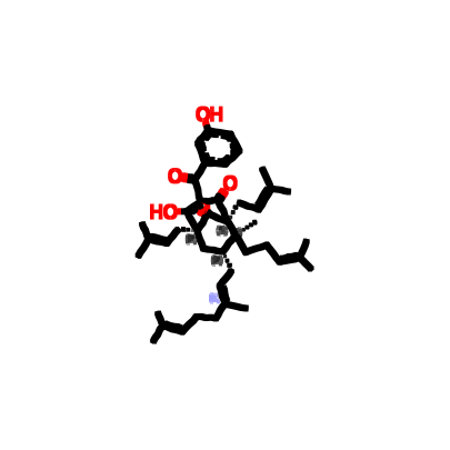 CC(C)=CCC/C(C)=C/C[C@@H]1C[C@]2(CC=C(C)C)C(=O)[C@@](CC=C(C)C)(C(=O)C(C(=O)c3cccc(O)c3)=C2O)[C@@]1(C)CCC=C(C)C